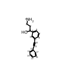 NCCC(O)c1cccc(C#Cc2ccccc2)c1